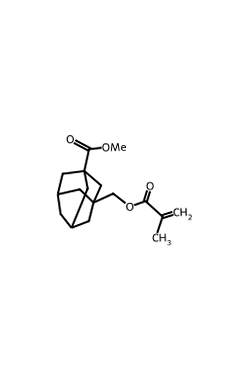 C=C(C)C(=O)OCC12CC3CC(C1)CC(C(=O)OC)(C3)C2